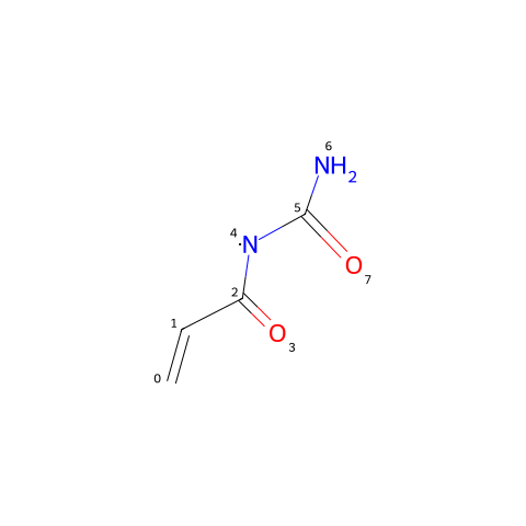 C=CC(=O)[N]C(N)=O